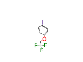 FC(F)(F)COc1ccc(I)cc1